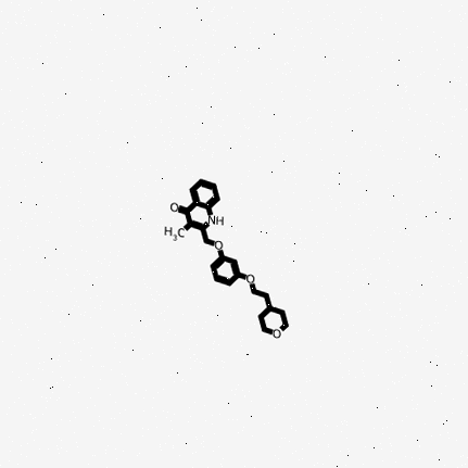 Cc1c(COc2cccc(OCCC3CCOCC3)c2)[nH]c2ccccc2c1=O